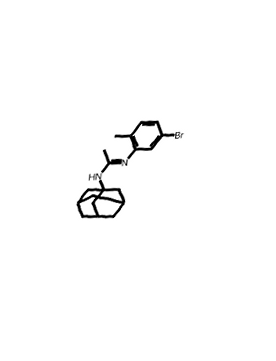 CC(=Nc1cc(Br)ccc1C)NC12CC3CC(CC(C3)C1)C2